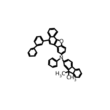 CC1(C)c2ccccc2-c2ccc(N(c3ccccc3)c3ccc4oc5c6ccccc6c(-c6cccc(-c7ccccc7)c6)cc5c4c3)cc21